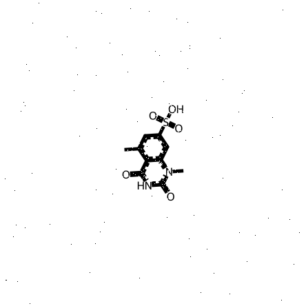 Cc1cc(S(=O)(=O)O)cc2c1c(=O)[nH]c(=O)n2C